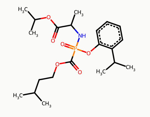 CC(C)CCOC(=O)P(=O)(NC(C)C(=O)OC(C)C)Oc1ccccc1C(C)C